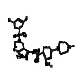 CN1CCN(c2ccc(C(=O)Nc3n[nH]c4c3CN(S(=O)(=O)c3cc(F)cc(F)c3)CC4)c(N)c2)CC1